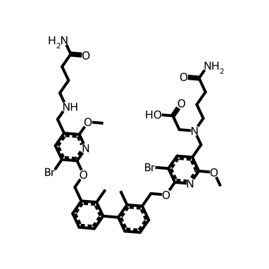 COc1nc(OCc2cccc(-c3cccc(COc4nc(OC)c(CN(CCCC(N)=O)CC(=O)O)cc4Br)c3C)c2C)c(Br)cc1CNCCCC(N)=O